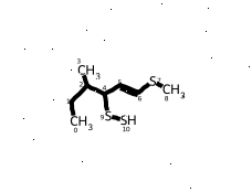 CCC(C)C(C=CSC)SS